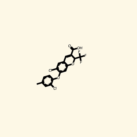 Cc1ccc(Oc2cc3c(cc2Cl)C=C(C(=O)O)C(C(F)(F)F)O3)c(Cl)c1